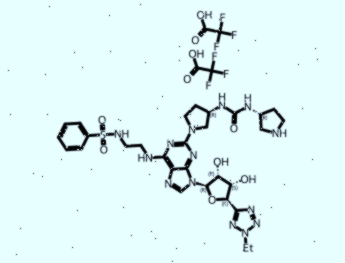 CCn1nnc([C@H]2O[C@@H](n3cnc4c(NCCNS(=O)(=O)c5ccccc5)nc(N5CC[C@@H](NC(=O)N[C@@H]6CCNC6)C5)nc43)[C@H](O)[C@@H]2O)n1.O=C(O)C(F)(F)F.O=C(O)C(F)(F)F